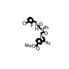 COC(=O)c1ccc2c(c1)c(C(C)=O)cn2CC(=O)N(CC(=O)NCc1cccc(Cl)c1F)C(C)C